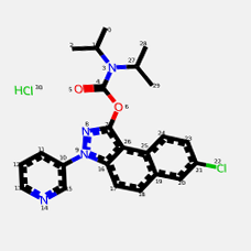 CC(C)N(C(=O)Oc1nn(-c2cccnc2)c2ccc3cc(Cl)ccc3c12)C(C)C.Cl